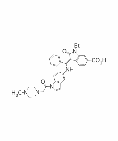 CCN1C(=O)C(=C(Nc2ccc3c(ccn3C(=O)CN3CCN(C)CC3)c2)c2ccccc2)c2ccc(C(=O)O)cc21